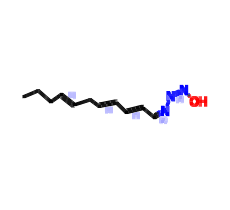 CCC/C=C/C/C=C/C=C/C=N\N=N/O